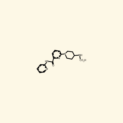 O=C(O)NC1CCN(c2cccc(C(=O)Nc3ccccn3)n2)CC1